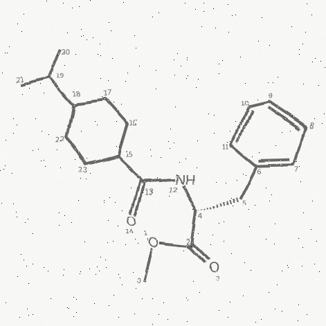 COC(=O)[C@@H](Cc1ccccc1)NC(=O)C1CCC(C(C)C)CC1